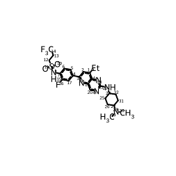 CCc1cc(-c2ccc(NS(=O)(=O)CCC(F)(F)F)c(F)c2)nc2cnc(NC3CCC(N(C)C)CC3)nc12